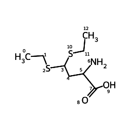 CCSC(CC(N)C(=O)O)SCC